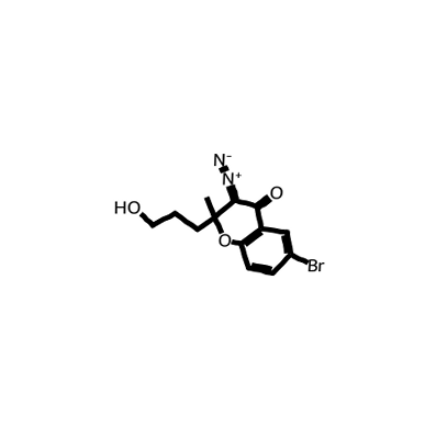 CC1(CCCO)Oc2ccc(Br)cc2C(=O)C1=[N+]=[N-]